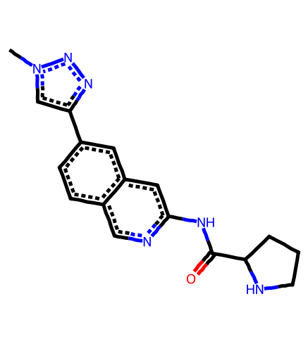 Cn1cc(-c2ccc3cnc(NC(=O)C4CCCN4)cc3c2)nn1